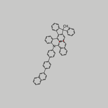 CC1(c2ccccc2)c2ccccc2-c2c(-c3ccccc3N(c3ccc(-c4ccc(-c5ccc6ccccc6c5)cc4)cc3)c3cccc4ccccc34)cccc21